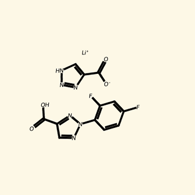 O=C(O)c1cnn(-c2ccc(F)cc2F)n1.O=C([O-])c1c[nH]nn1.[Li+]